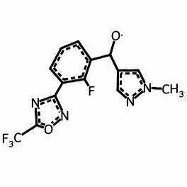 Cn1cc(C([O])c2cccc(-c3noc(C(F)(F)F)n3)c2F)cn1